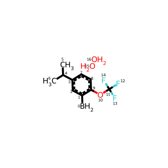 Bc1cc(C(C)C)ccc1OC(F)(F)F.O.O